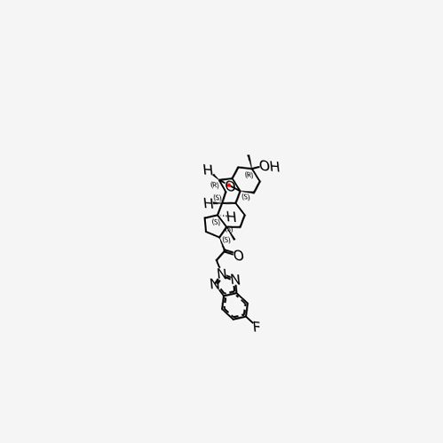 C[C@@]1(O)CC[C@]23CO[C@H](C[C@@H]4C2CC[C@]2(C)[C@@H](C(=O)Cn5nc6ccc(F)cc6n5)CC[C@@H]42)C3C1